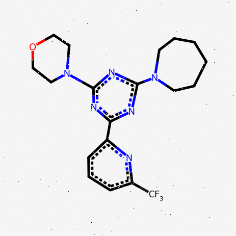 FC(F)(F)c1cccc(-c2nc(N3CCCCCC3)nc(N3CCOCC3)n2)n1